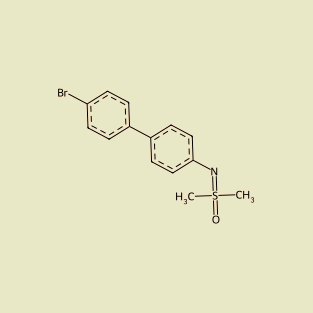 CS(C)(=O)=Nc1ccc(-c2ccc(Br)cc2)cc1